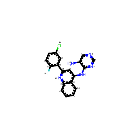 Nc1cncnc1Nc1cc(-c2cc(Cl)ccc2F)nc2ccccc12